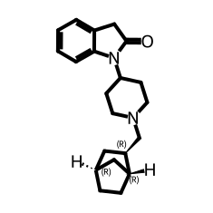 O=C1Cc2ccccc2N1C1CCN(C[C@@H]2C[C@@H]3CC[C@@H]2C3)CC1